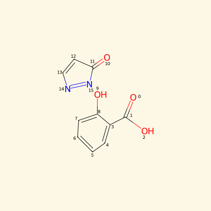 O=C(O)c1ccccc1O.O=C1C=CN=N1